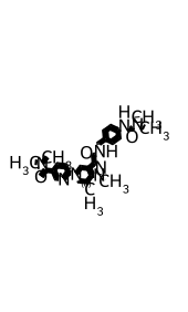 C[C@@H]1CN(c2ccc(C(=O)N(C)C)cn2)Cc2c(C(=O)NCc3ccc(NC(=O)N(C)C)cc3)nn(C)c21